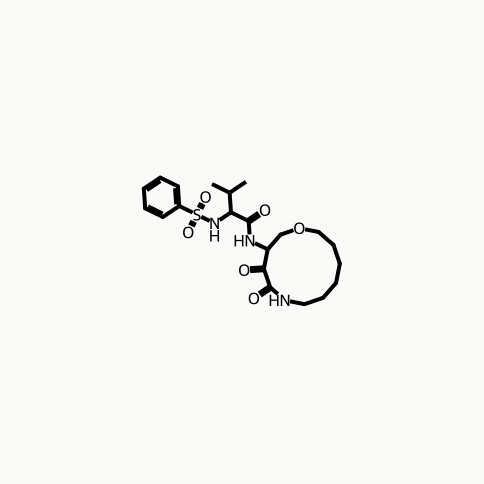 CC(C)C(NS(=O)(=O)c1ccccc1)C(=O)NC1COCCCCCCNC(=O)C1=O